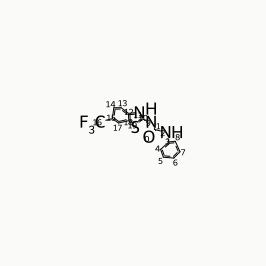 O=C(Nc1ccccc1)Nc1nc2ccc(C(F)(F)F)cc2s1